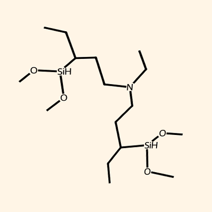 CCC(CCN(CC)CCC(CC)[SiH](OC)OC)[SiH](OC)OC